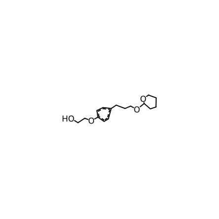 OCCOc1ccc(CCCOC2CCCCO2)cc1